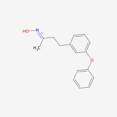 C/C(CCc1cccc(Oc2ccccc2)c1)=N\O